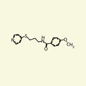 COc1ccc(C(=O)NCCCSc2ccncc2)cc1